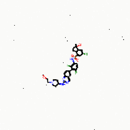 COCCN1CCC(Nc2ncc3cc(-c4c(F)ccc(NS(=O)(=O)c5cc(Cl)cc6c5CCC6(C)O)c4F)ccc3n2)CC1